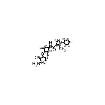 Nc1nccc(Oc2c(F)cc(NC(=O)c3cnn(-c4ccccc4)c3C(F)(F)F)cc2F)c1Cl